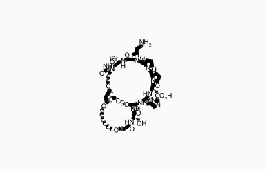 CC(C)C1NC(=O)[C@H](CCCCN)NC(=O)[C@@H]2CCCN2C(=O)[C@@H]2CCCN2C(=O)[C@H](CC(=O)O)NC(=O)[C@H](Cc2cnc[nH]2)NC(=O)[C@@H]2CSCc3cc(cc(c3)OCCCCCCO/N=C/C(=O)N[C@@H](CO)C(=O)N2)CSC[C@@H](C(N)=O)NC1=O